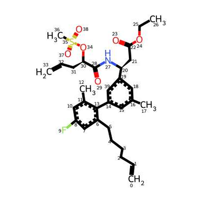 C=CCCCCc1cc(F)cc(C)c1-c1cc(C)cc([C@H](CC(=O)OCC)NC(=O)[C@@H](CC=C)OS(C)(=O)=O)c1